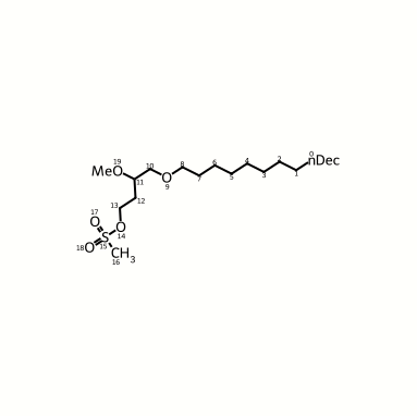 CCCCCCCCCCCCCCCCCCOCC(CCOS(C)(=O)=O)OC